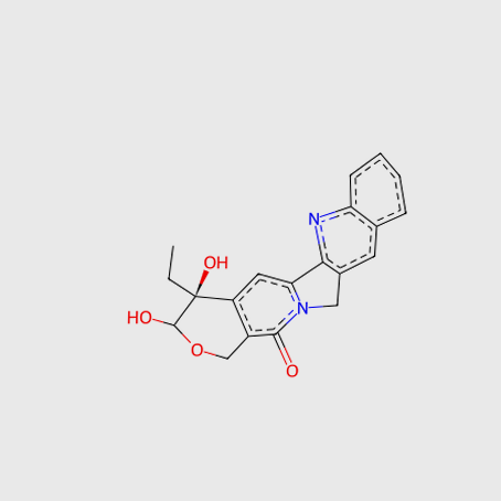 CC[C@]1(O)c2cc3n(c(=O)c2COC1O)Cc1cc2ccccc2nc1-3